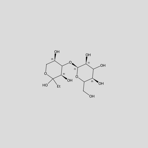 CCC1(O)OC[C@@H](O)C(O[C@@H]2OC(CO)[C@H](O)C(O)[C@@H]2O)[C@H]1O